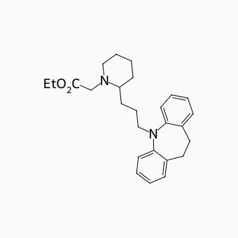 CCOC(=O)CN1CCCCC1CCCN1c2ccccc2CCc2ccccc21